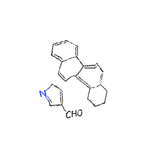 O=CC1=CCN=C1.c1ccc2c(c1)ccc1c3c(ccc12)CCCC3